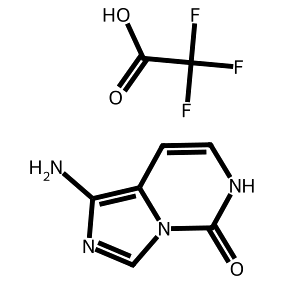 Nc1ncn2c(=O)[nH]ccc12.O=C(O)C(F)(F)F